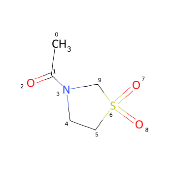 CC(=O)N1CCS(=O)(=O)C1